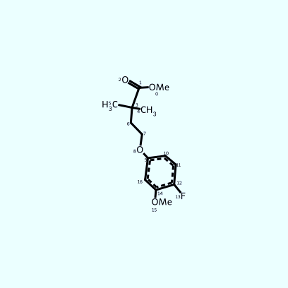 COC(=O)C(C)(C)CCOc1ccc(F)c(OC)c1